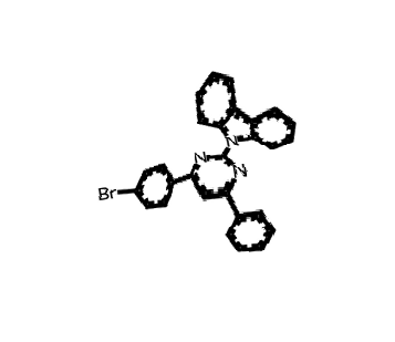 Brc1ccc(-c2cc(-c3ccccc3)nc(-n3c4ccccc4c4ccccc43)n2)cc1